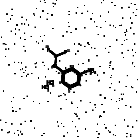 Cl.Cl.Nc1cncc(OC(F)F)c1